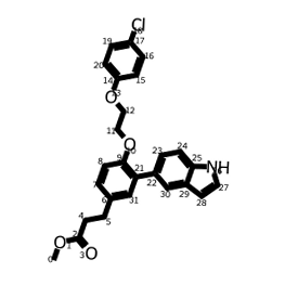 COC(=O)CCc1ccc(OCCOc2ccc(Cl)cc2)c(-c2ccc3[nH]ccc3c2)c1